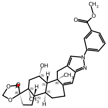 COC(=O)c1cccc(-n2cc3c(n2)C=C2CC[C@@H]4[C@H]([C@@H](O)C[C@@]5(C)[C@H]4CC[C@@]54OCOC45COCO5)[C@@]2(C)C3)c1